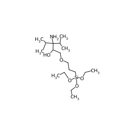 CCO[Si](CCCOCC(O)C(N)(C(C)C)C(C)C)(OCC)OCC